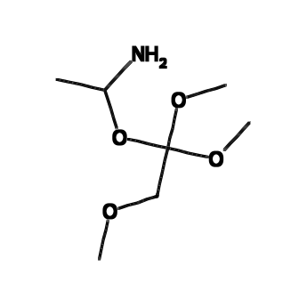 COCC(OC)(OC)OC(C)N